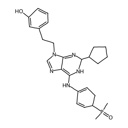 CP(C)(=O)C1C=CC(NC2=c3ncn(CCc4cccc(O)c4)c3=NC(C3CCCC3)N2)=CC1